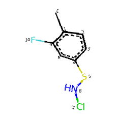 Cc1ccc(SNCl)cc1F